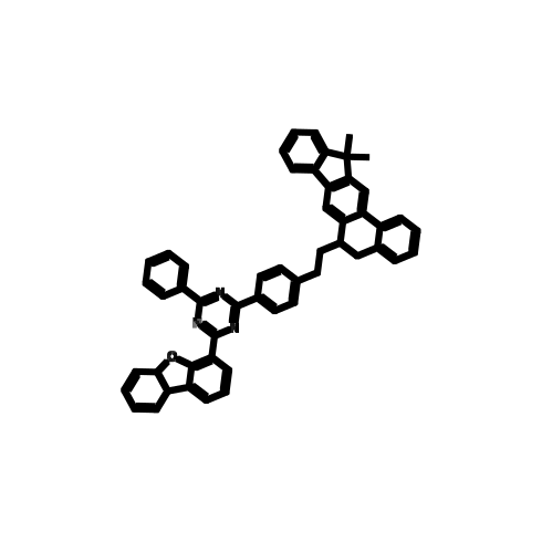 CC1(C)c2ccccc2-c2cc3c(cc21)-c1ccccc1CC3CCc1ccc(-c2nc(-c3ccccc3)nc(-c3cccc4c3OC3C=CC=CC43)n2)cc1